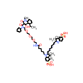 CCc1cccc2c1c(O)c(C(=O)N(CCOCCOCCOCCNC(=O)CCCCCN1/C(=C/C=C/C=C/C=C/C3=Nc4ccc(S(=O)(=O)O)cc4C3(C)C)C(C)(C)c3cc(S(=O)(=O)O)ccc31)c1ccccc1)c(=O)n2C